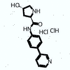 Cl.Cl.O=C(Nc1ccc(-c2cccnc2)cc1)[C@H]1C[C@H](O)CN1